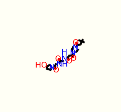 CC(C)(C)CC(=O)N1CCN(C(=O)CC(=O)NCC(=O)NCC(=O)N2CC[C@@H](O)C2)CC1